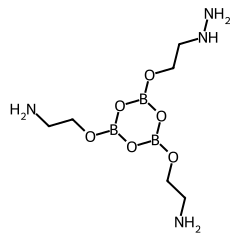 NCCOB1OB(OCCN)OB(OCCNN)O1